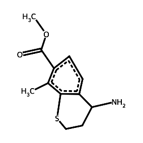 COC(=O)c1ccc2c(c1C)SCCC2N